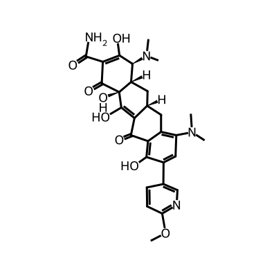 COc1ccc(-c2cc(N(C)C)c3c(c2O)C(=O)C2=C(O)[C@]4(O)C(=O)C(C(N)=O)=C(O)[C@@H](N(C)C)[C@@H]4C[C@@H]2C3)cn1